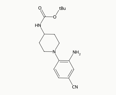 CC(C)(C)OC(=O)NC1CCN(c2ccc(C#N)cc2N)CC1